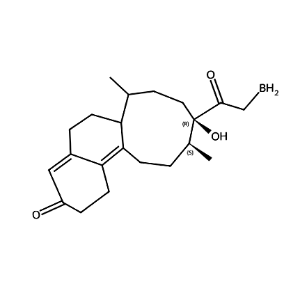 BCC(=O)[C@@]1(O)CCC(C)C2CCC3=CC(=O)CCC3=C2CC[C@@H]1C